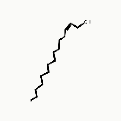 CCCCCCCCCCCC/C=C\CO